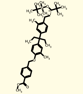 CCC(CC)(c1ccc(CC[C@H](O[Si](C)(C)C(C)(C)C)C(C)(C)C)c(C)c1)c1ccc(OCc2ccc(C(=O)OC)cc2)c(C)c1